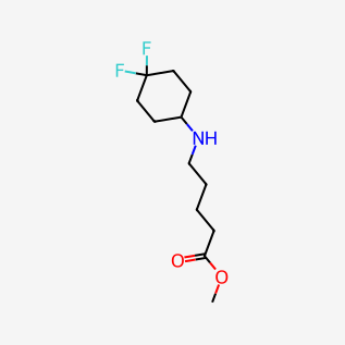 COC(=O)CCCCNC1CCC(F)(F)CC1